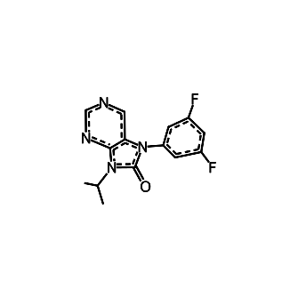 CC(C)n1c(=O)n(-c2cc(F)cc(F)c2)c2cncnc21